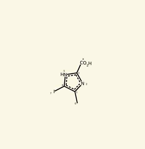 Cc1nc(C(=O)O)[nH]c1I